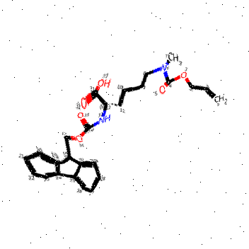 C=CCOC(=O)N(C)CCCC[C@H](NC(=O)OCC1c2ccccc2-c2ccccc21)C(=O)O